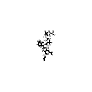 C=CCNC(=O)C(=O)C(CCCC)NC(=O)[C@@H]1[C@H]2CCC(C)(C)[C@H]2CN1C(=O)[C@@H](NC(=O)N[C@H](CN(C)[S+](C)[O-])C(C)(C)C)C(C)(C)C